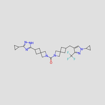 O=C(N1CC2(CC(Cc3cn(C4CC4)nc3C(F)(F)F)C2)C1)N1CC2(CC(c3nc(C4CC4)n[nH]3)C2)C1